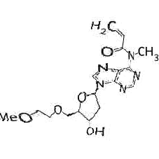 C=CC(=O)N(C)c1ncnc2c1ncn2[C@H]1C[C@H](O)[C@@H](COCCOC)O1